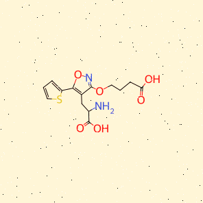 NC(Cc1c(OCCCC(=O)O)noc1-c1cccs1)C(=O)O